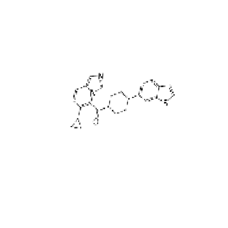 O=C(c1c(C2CC2)ccc2cncn12)C1CCC(c2ccc3ccsc3c2)CC1